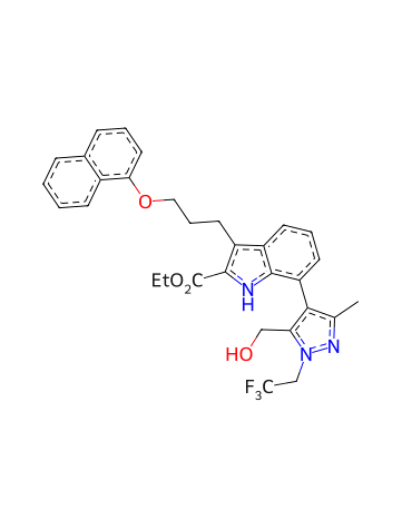 CCOC(=O)c1[nH]c2c(-c3c(C)nn(CC(F)(F)F)c3CO)cccc2c1CCCOc1cccc2ccccc12